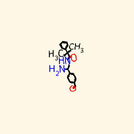 CCC(CC)(C(=O)NCC(N)C1CCC(C=O)CC1)c1ccccc1